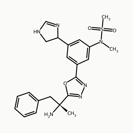 CN(c1cc(-c2nnc([C@](C)(N)Cc3ccccc3)o2)cc(C2CNC=N2)c1)S(C)(=O)=O